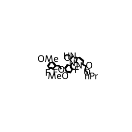 CCCOCC(=O)C1=NC2C(C=C1)NC(=O)N2c1cc(OCc2c(OC)ccc(F)c2F)c(OC)cc1F